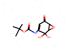 CC(C)(C)OC(=O)NC1=CC(=O)C2OC2C1(O)O